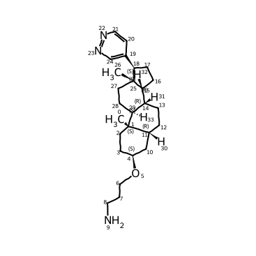 C[C@]12CC[C@H](OCCCN)C[C@H]1CC[C@H]1[C@H]3CC[C@H](c4ccnnc4)[C@@]3(C)CC[C@@H]12